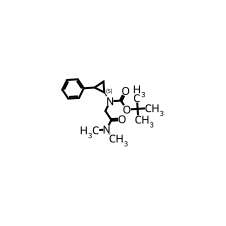 CN(C)C(=O)CN(C(=O)OC(C)(C)C)[C@H]1CC1c1ccccc1